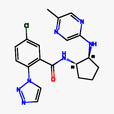 Cc1cnc(N[C@H]2CCC[C@@H]2NC(=O)c2cc(Cl)ccc2-n2ccnn2)cn1